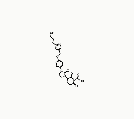 O=C(O)N1C(=O)CCC(N2CCN(c3ccc(OCc4cn(CCCO)nn4)cc3)C2=O)C1=O